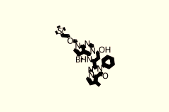 Cc1ccn2nc(C(CCO)Nc3ncnc4c3c(Br)cn4COCC[Si](C)(C)C)n(-c3ccccc3)c(=O)c12